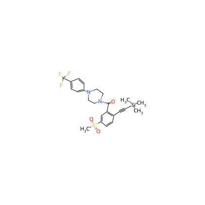 C[Si](C)(C)C#Cc1ccc(S(C)(=O)=O)cc1C(=O)N1CCN(c2ccc(C(F)(F)F)cc2)CC1